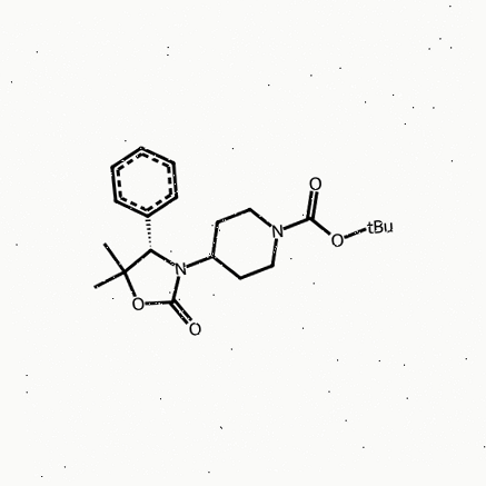 CC(C)(C)OC(=O)N1CCC(N2C(=O)OC(C)(C)[C@@H]2c2ccccc2)CC1